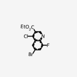 CCOC(=O)c1cnc2c(F)cc(Br)cc2c1Cl